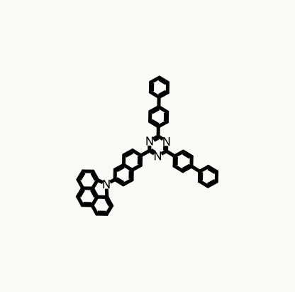 c1ccc(-c2ccc(-c3nc(-c4ccc(-c5ccccc5)cc4)nc(-c4ccc5cc(-n6c7cccc8ccc9cccc6c9c87)ccc5c4)n3)cc2)cc1